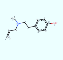 C=CCN(C)CCc1ccc(O)cc1